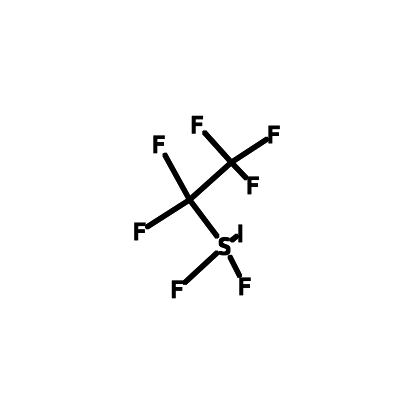 FC(F)(F)C(F)(F)S(F)(F)I